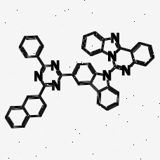 c1ccc(-c2nc(-c3ccc4ccccc4c3)nc(-c3ccc4c(c3)c3ccccc3n4-c3nc4ccccc4c4nc5ccccc5n34)n2)cc1